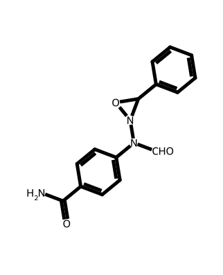 NC(=O)c1ccc(N(C=O)N2OC2c2ccccc2)cc1